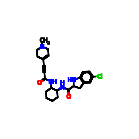 CN1CC=C(C#CC(=O)N[C@@H]2CCCC[C@@H]2NC(=O)C2Cc3cc(Cl)ccc3N2)CC1